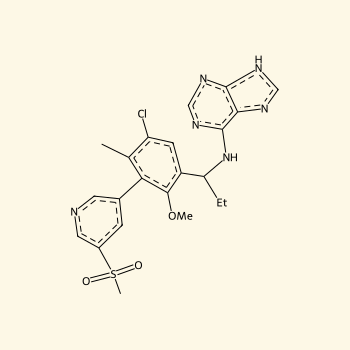 CCC(Nc1ncnc2[nH]cnc12)c1cc(Cl)c(C)c(-c2cncc(S(C)(=O)=O)c2)c1OC